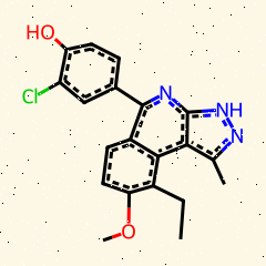 CCc1c(OC)ccc2c(-c3ccc(O)c(Cl)c3)nc3[nH]nc(C)c3c12